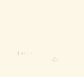 CCCCC1(C(=O)OCC)CCCCC1